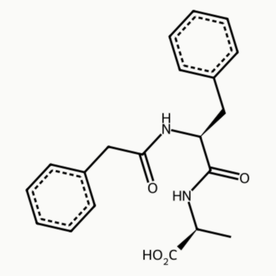 C[C@H](NC(=O)[C@H](Cc1ccccc1)NC(=O)Cc1ccccc1)C(=O)O